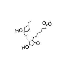 C=CC(O)(CCCC)CCC[C@H]1[C@H](O)CC(=O)[C@@H]1CCCCC=CC(=O)OC